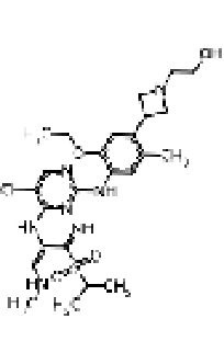 CCOc1cc(C2CN(CCO)C2)c(C)cc1Nc1ncc(Cl)c(N/C(=C/NC)C(=N)S(=O)(=O)C(C)C)n1